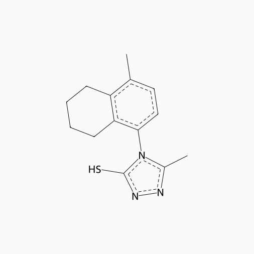 Cc1ccc(-n2c(C)nnc2S)c2c1CCCC2